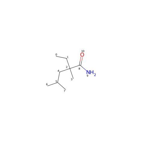 CCC(C)(CC(C)C)C(N)=O